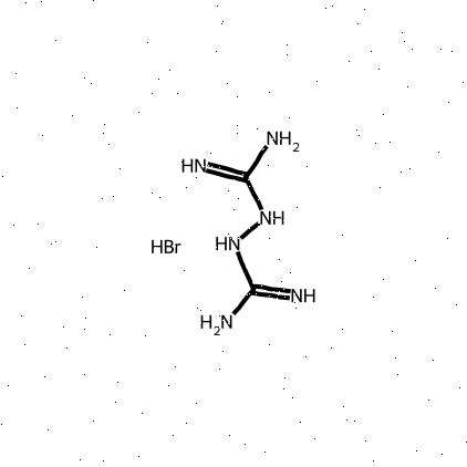 Br.N=C(N)NNC(=N)N